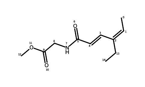 CC=C(C=CC(=O)NCC(=O)OC)CC